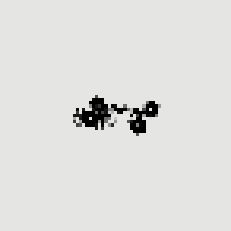 O=C1N(CCCNCC(c2ccccc2)c2ccccc2)c2ccccc2C12COc1cc3c(cc12)OCO3